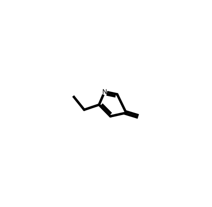 C=C1C=NC(CC)=C1